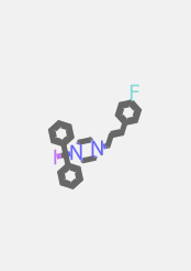 Fc1ccc(C=CCN2CCN(C(I)(c3ccccc3)c3ccccc3)CC2)cc1